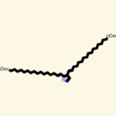 CCCCCCCCCCCCCCCCCCCCCCCCC=CC1=C(C=CCCCCCCCCCCCCCCCCCCCCCCCC)[N]C=C1